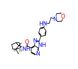 CC1(C)C2CC[C@@]1(C)[C@@H](NC(=O)c1ccnc3[nH]c(-c4ccc(NCCN5CCOCC5)cc4)nc13)C2